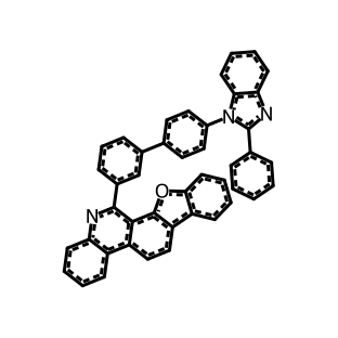 c1ccc(-c2nc3ccccc3n2-c2ccc(-c3cccc(-c4nc5ccccc5c5ccc6c7ccccc7oc6c45)c3)cc2)cc1